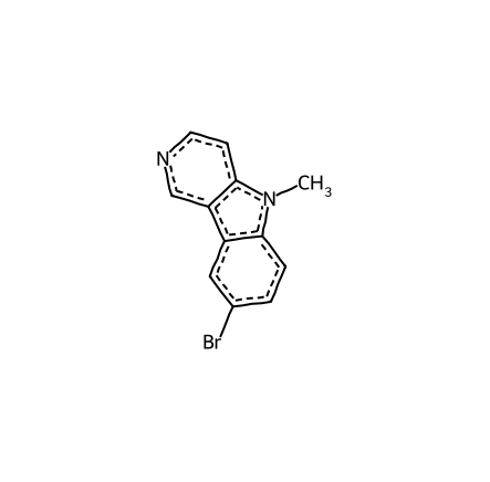 Cn1c2ccncc2c2cc(Br)ccc21